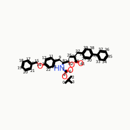 CC(C)(C)OC(=O)N[C@@H](Cc1ccc(OCc2ccccc2)cc1)[C@@H]1C[C@@H](Cc2ccc(-c3ccccc3)cc2)C(=O)O1